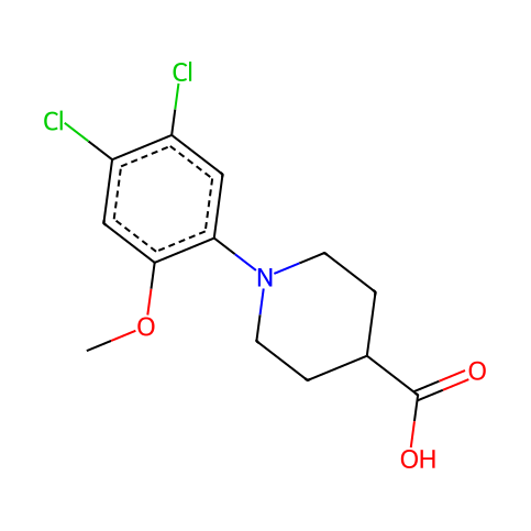 COc1cc(Cl)c(Cl)cc1N1CCC(C(=O)O)CC1